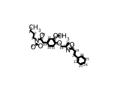 CCCCN1C(=O)OC(c2ccc(OCc3coc(C=Cc4ccccc4)n3)c(OC)c2)C1=O